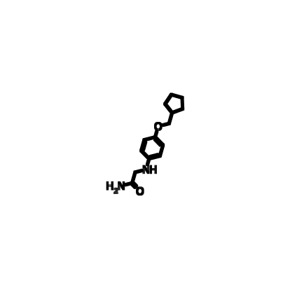 NC(=O)CNc1ccc(OCC2CCCC2)cc1